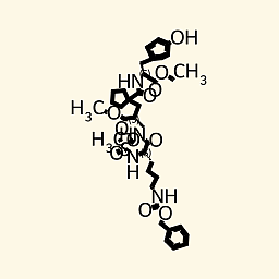 CCOC(=O)[C@H](CNC(=O)[C@H](CCCCNC(=O)OCc1ccccc1)NS(C)(=O)=O)CC1(C(=O)N[C@@H](Cc2ccc(O)cc2)C(=O)OCC)CCCC1